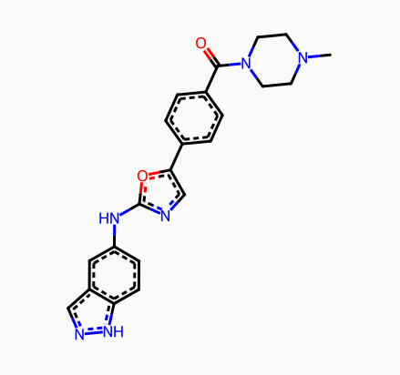 CN1CCN(C(=O)c2ccc(-c3cnc(Nc4ccc5[nH]ncc5c4)o3)cc2)CC1